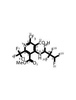 COC(=O)c1c(C(F)(F)Cl)nc(C(F)(F)F)c(C(=O)O)c1NC(F)C(F)(F)C(F)F